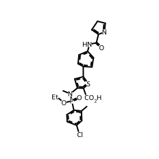 CCOP(=O)(c1ccc(Cl)cc1C)N(C)c1cc(-c2ccc(NC(=O)C3=CCC=N3)cc2)sc1C(=O)O